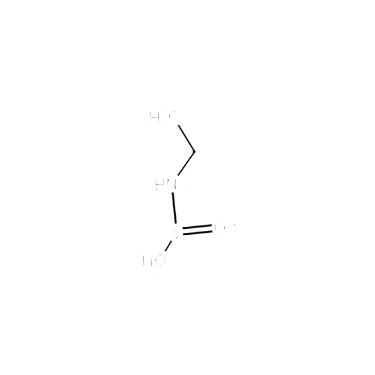 CCNS(=O)O